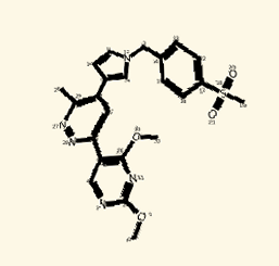 COc1ncc(-c2cc(-c3ccn(Cc4ccc(S(C)(=O)=O)cc4)c3)c(C)nn2)c(OC)n1